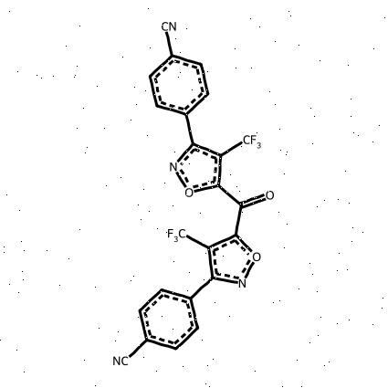 N#Cc1ccc(-c2noc(C(=O)c3onc(-c4ccc(C#N)cc4)c3C(F)(F)F)c2C(F)(F)F)cc1